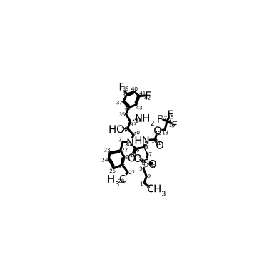 CCCCS(=O)(=O)C[C@H](NC(=O)OCC(F)(F)F)C(=O)N(Cc1cccc(CC)c1)C[C@@H](O)[C@@H](N)Cc1cc(F)cc(F)c1